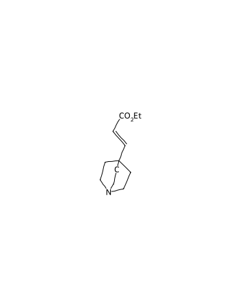 CCOC(=O)C=CC12CCN(CC1)CC2